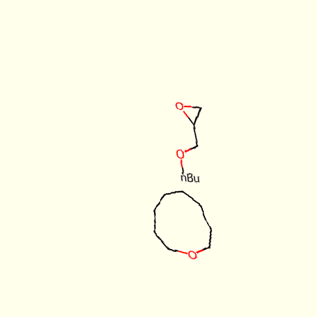 C1CCCCOCCC1.CCCCOCC1CO1